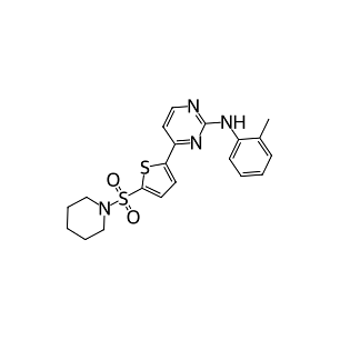 Cc1ccccc1Nc1nccc(-c2ccc(S(=O)(=O)N3CCCCC3)s2)n1